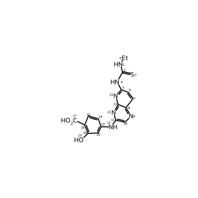 CCNC(=S)Nc1ccc2ncc(Nc3ccc(C(=O)O)c(O)c3)nc2n1